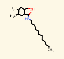 CCCCCCCCCCCCNC(=O)C1CC(C)=C(C)CC1CO